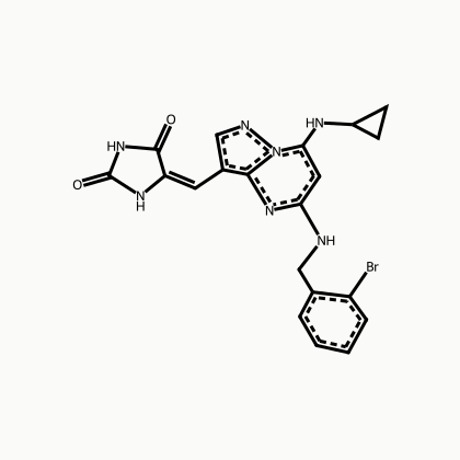 O=C1NC(=O)/C(=C\c2cnn3c(NC4CC4)cc(NCc4ccccc4Br)nc23)N1